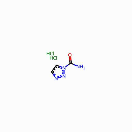 Cl.Cl.NC(=O)n1ccnn1